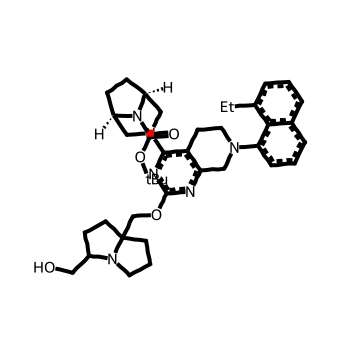 CCc1cccc2cccc(N3CCc4c(nc(OCC56CCCN5C(CO)CC6)nc4N4C[C@H]5CC[C@@H](C4)N5C(=O)OC(C)(C)C)C3)c12